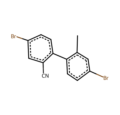 Cc1cc(Br)ccc1-c1ccc(Br)cc1C#N